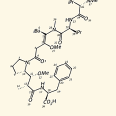 CC[C@H](C)/C(=C(\CC(=O)N1CCC[C@H]1[C@H](OC)[C@@H](C)C(=O)N[C@@H](Cc1ccccc1)C(=O)O)OC)N(C)C(=O)[C@@H](NC(=O)[C@@H](NC)C(C)C)C(C)C